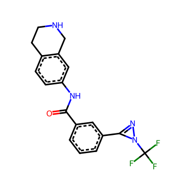 O=C(Nc1ccc2c(c1)CNCC2)c1cccc(C2=NN2C(F)(F)F)c1